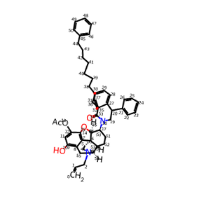 C=CCN1CC[C@]23c4c5c(O)cc(OC(C)=O)c4O[C@H]2[C@@H](N(CC(c2ccccc2)c2ccccc2)C(=O)CCCCCCCCCCc2ccccc2)CC[C@H]3[C@H]1C5